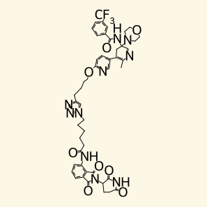 CC1=C(c2ccc(OCCCCc3cn(CCCCCC(=O)Nc4cccc5c4C(=O)N(C4CCC(=O)NC4=O)C5=O)nn3)nc2)CC(NC(=O)c2cccc(C(F)(F)F)c2)(N2CCOCC2)C=N1